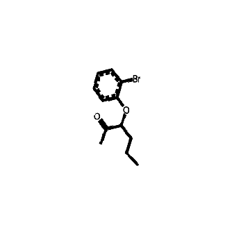 CCCC(Oc1ccccc1Br)C(C)=O